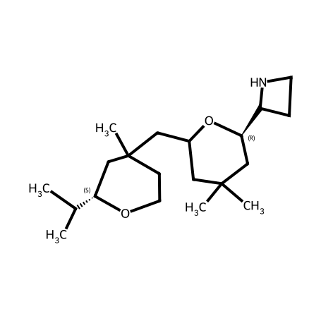 CC(C)[C@@H]1CC(C)(CC2CC(C)(C)C[C@H](C3CCN3)O2)CCO1